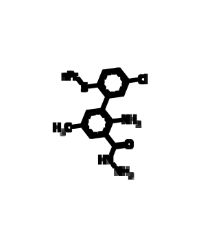 CCCSc1ccc(Cl)cc1-c1cc(C)cc(C(=O)NN)c1N